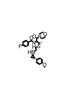 COc1ccc([C@@H]2C[C@H]2NCCS[C@@H](C)[C@H](NC(=O)c2ccc(F)cc2)C(=O)N2CCOCC2)cc1